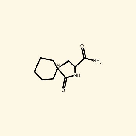 NC(=O)C1C[C@@]2(C[CH]CCC2)C(=O)N1